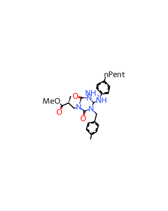 CCCCCc1ccc(NC2N(N)C(=O)N(C[C@H](C)C(=O)OC)C(=O)N2Cc2ccc(C)cc2)cc1